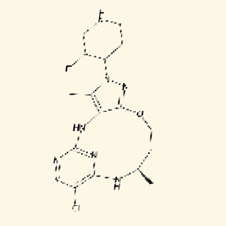 Cc1c2c(nn1C1CCNCC1F)OCC[C@@H](C)Nc1nc(ncc1Cl)N2